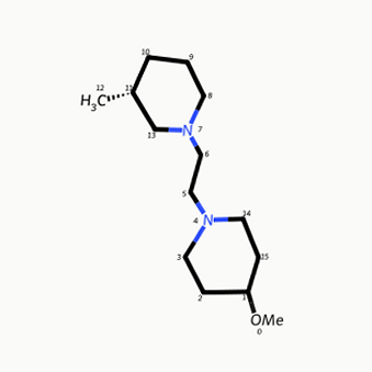 COC1CCN(CCN2CCC[C@@H](C)C2)CC1